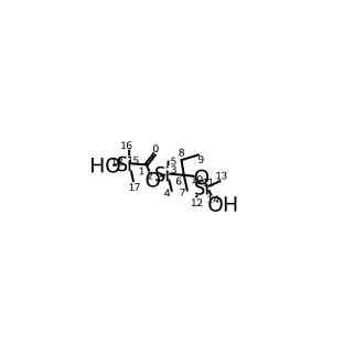 C=C(O[Si](C)(C)C(C)(CC)O[Si](C)(C)O)[Si](C)(C)O